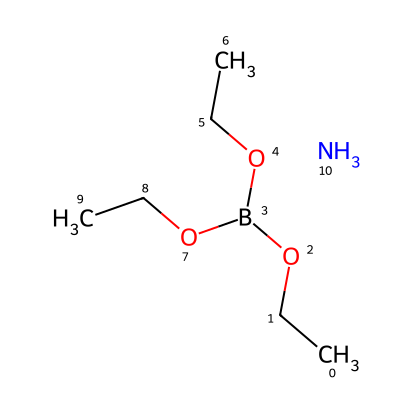 CCOB(OCC)OCC.N